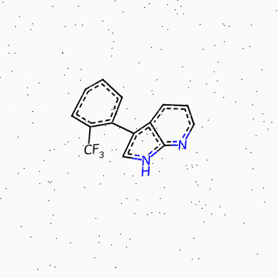 FC(F)(F)c1ccccc1-c1c[nH]c2ncccc12